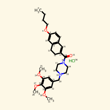 CCCCOc1ccc2c(c1)CCC(C(=O)N1CCN(Cc3cc(OC)c(OC)c(OC)c3)CC1)=C2.Cl